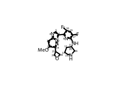 COc1cc2ncc(-c3nc(N[C@@H]4CCCNC4)c(F)cc3F)n2nc1C1COC1